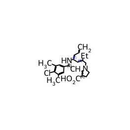 C=C/C=C(\C=C(/CC)CN1CC[C@@H](C(=O)O)C1)N[C@H](C)c1cc(C)c(Cl)c(C)c1